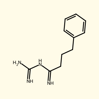 N=C(N)NC(=N)CCCc1ccccc1